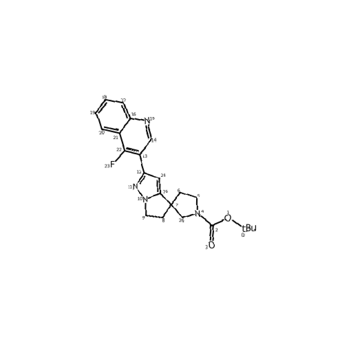 CC(C)(C)OC(=O)N1CCC2(CCn3nc(-c4cnc5ccccc5c4F)cc32)C1